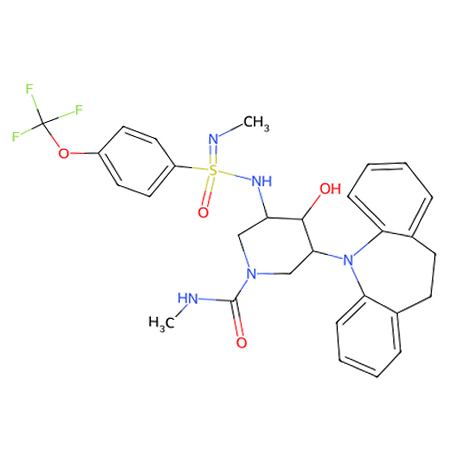 CN=S(=O)(NC1CN(C(=O)NC)CC(N2c3ccccc3CCc3ccccc32)C1O)c1ccc(OC(F)(F)F)cc1